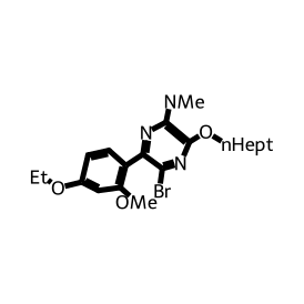 CCCCCCCOc1nc(Br)c(-c2ccc(OCC)cc2OC)nc1NC